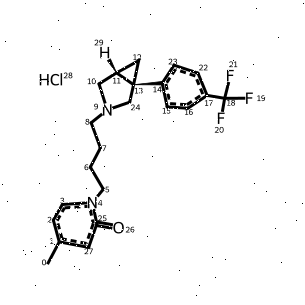 Cc1ccn(CCCCN2C[C@@H]3C[C@]3(c3ccc(C(F)(F)F)cc3)C2)c(=O)c1.Cl